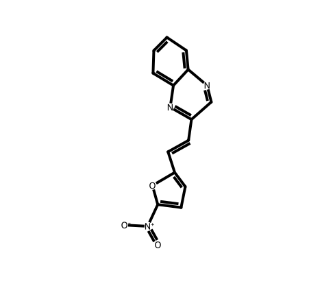 O=[N+]([O-])c1ccc(C=Cc2cnc3ccccc3n2)o1